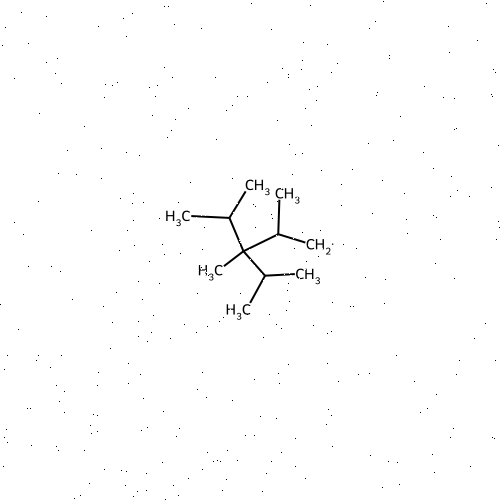 [CH2]C(C)C(C)(C(C)C)C(C)C